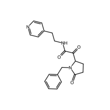 O=C(NCCc1ccncc1)C(=O)C1CCC(=O)N1Cc1ccccc1